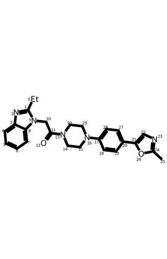 CCc1nc2ccccc2n1CC(=O)N1CCN(c2ccc(-c3cnc(C)o3)cc2)CC1